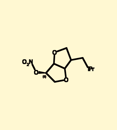 CC(C)CC1COC2C1OC[C@H]2O[N+](=O)[O-]